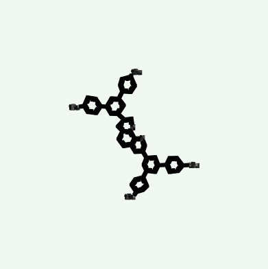 CC(C)(C)c1ccc(-c2cc(-c3ccc(C(C)(C)C)cc3)cc(-c3cnc4c(ccc5cc(-c6cc(-c7ccc(C(C)(C)C)cc7)cc(-c7ccc(C(C)(C)C)cc7)c6)cnc54)c3)c2)cc1